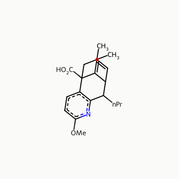 C/C=C1\C2C=C(C)CC1(C(=O)O)c1ccc(OC)nc1C2CCC